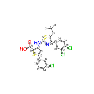 CC(C)Cc1sc(Nc2cc(-c3cccc(Cl)c3)sc2C(=O)O)nc1-c1ccc(Cl)c(Cl)c1